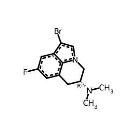 CN(C)[C@@H]1Cc2cc(F)cc3c(Br)cn(c23)C1